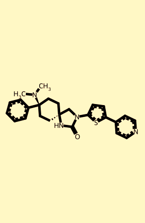 CN(C)[C@]1(c2ccccc2)CC[C@]2(CC1)CN(c1ccc(-c3ccncc3)s1)C(=O)N2